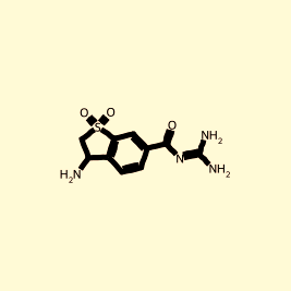 NC(N)=NC(=O)c1ccc2c(c1)S(=O)(=O)CC2N